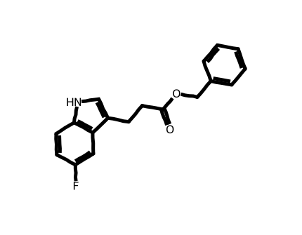 O=C(CCc1c[nH]c2ccc(F)cc12)OCc1ccccc1